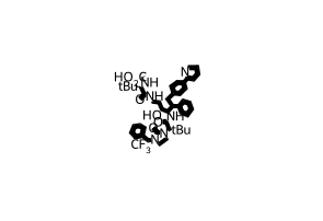 CC(C)(C)[C@H](NC(=O)O)C(=O)NCC[C@H](O)[C@@H](NC(=O)[C@@H](N1CCN(Cc2ccccc2C(F)(F)F)C1=O)C(C)(C)C)C(Cc1ccc(-c2ccccn2)cc1)c1ccccc1